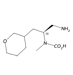 CN(C(=O)O)[C@H](CN)CC1CCCOC1